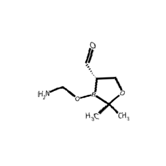 CC1(C)OC[C@@H](C=O)B1OCN